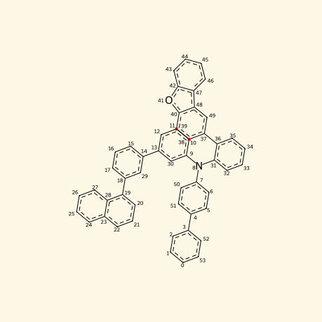 c1ccc(-c2ccc(N(c3cccc(-c4cccc(-c5cccc6ccccc56)c4)c3)c3ccccc3-c3ccc4oc5ccccc5c4c3)cc2)cc1